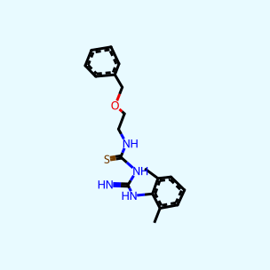 Cc1cccc(C)c1NC(=N)NC(=S)NCCOCc1ccccc1